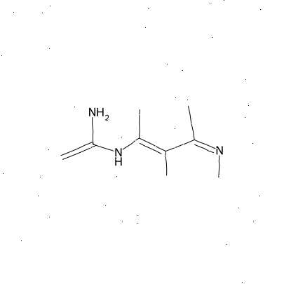 C=C(N)N/C(C)=C(C)/C(C)=N\C